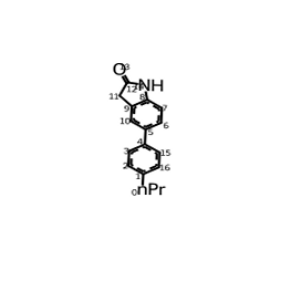 CCCc1ccc(-c2ccc3c(c2)CC(=O)N3)cc1